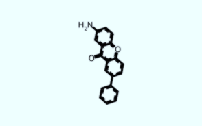 Nc1ccc2oc3ccc(-c4ccccc4)cc3c(=O)c2c1